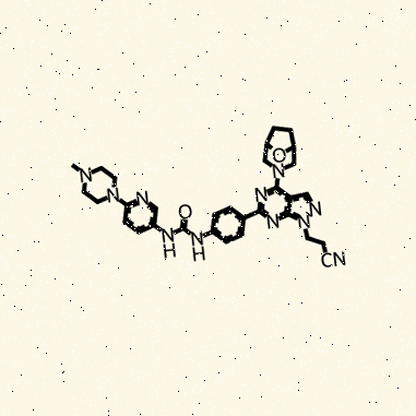 CN1CCN(c2ccc(NC(=O)Nc3ccc(-c4nc(N5CC6CCC(C5)O6)c5cnn(CCC#N)c5n4)cc3)cn2)CC1